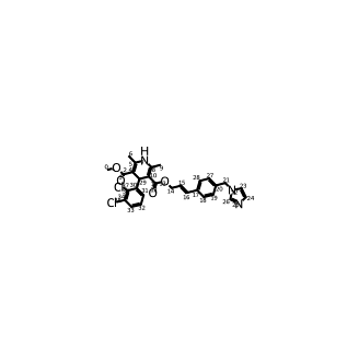 COC(=O)C1=C(C)NC(C)=C(C(=O)OCC=Cc2ccc(Cn3ccnc3)cc2)C1c1cccc(Cl)c1Cl